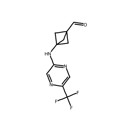 O=CC12CC(Nc3cnc(C(F)(F)F)cn3)(C1)C2